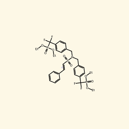 CCOP(=O)(OCC)C(F)(F)c1ccc(CN(Cc2ccc(C(F)(F)P(=O)(OCC)OCC)cc2)S(=O)(=O)/C=C/c2ccccc2)cc1